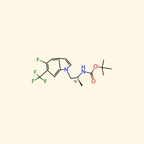 C[C@@H](Cn1ccc2cc(F)c(C(F)(F)F)cc21)NC(=O)OC(C)(C)C